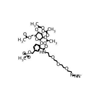 CC(=O)OC[C@H]1O[C@@H](Oc2ccc(COS(C)(=O)=O)cc2C(=O)NCCOCCOCCOCCN=[N+]=[N-])[C@H](OC(C)=O)[C@@H](OC(C)=O)[C@H]1OC(C)=O